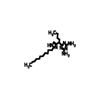 CCCCCCCCCCCc1nc(C(CCCC)c2nc(N)nc(N)n2)c[nH]1